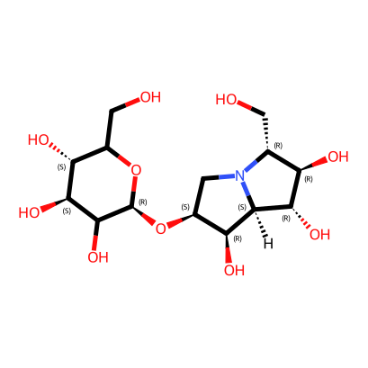 OCC1O[C@@H](O[C@H]2CN3[C@H]([C@H]2O)[C@@H](O)[C@H](O)[C@H]3CO)C(O)[C@@H](O)[C@@H]1O